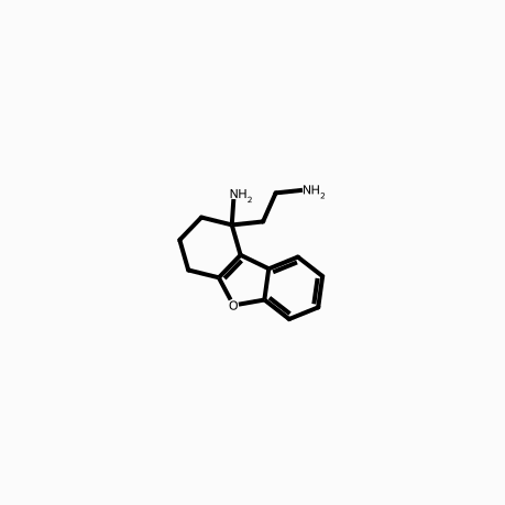 NCCC1(N)CCCc2oc3ccccc3c21